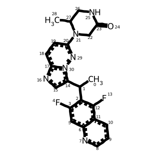 CC(c1c(F)cc2ncccc2c1F)c1cnc2ccc(N3CC(=O)NCC3C)nn12